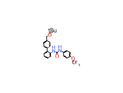 CC(C)(C)OCc1ccc(-c2ccccc2NC(=O)Nc2ccc(OC(F)(F)F)cc2)cc1